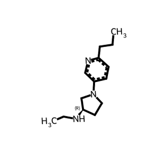 CCCc1ccc(N2CC[C@@H](NCC)C2)cn1